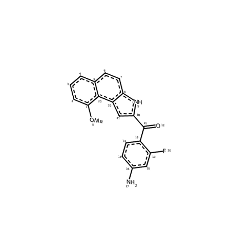 COc1cccc2ccc3[nH]c(C(=O)c4ccc(N)cc4F)cc3c12